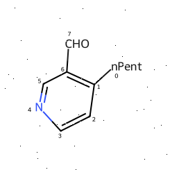 CCCCCc1ccncc1C=O